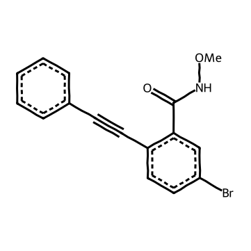 CONC(=O)c1cc(Br)ccc1C#Cc1ccccc1